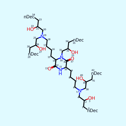 CCCCCCCCCCCC(O)CN(CCCCC1NC(=O)C(CCCCN(CC(O)CCCCCCCCCCC)CC(O)CCCCCCCCCCC)N(CC(O)CCCCCCCCCCC)C1=O)CC(O)CCCCCCCCCCC